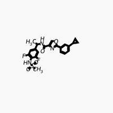 CC(NC(=O)c1coc(-c2cccc(C3CC3)c2)n1)c1cc(F)c(NS(C)(=O)=O)c(F)c1